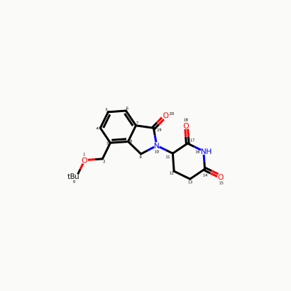 CC(C)(C)OCc1cccc2c1CN(C1CCC(=O)NC1=O)C2=O